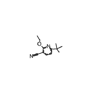 CCOc1nc(C(C)(C)C)ccc1C#N